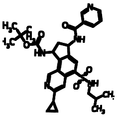 CC(C)CNS(=O)(=O)c1cc2c(c3cnc(C4CC4)cc13)C(NC(=O)OC(C)(C)C)CC2NC(=O)c1cccnc1